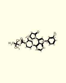 CC1CN(c2ncnc3c2c(N2CCCC2=O)cn3-c2cccc(Cl)c2)CCN1C(=O)OC(C)(C)C